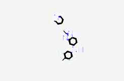 Cc1c(F)cc(Nc2ccc3[nH]c(CSc4ccnc(C(F)(F)F)c4)nc3c2)cc1F